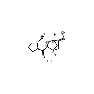 Cl.N#C[C@@H]1CCCN1C(=O)[C@H]1N[C@@H]2C[C@H]1C/C2=N/O